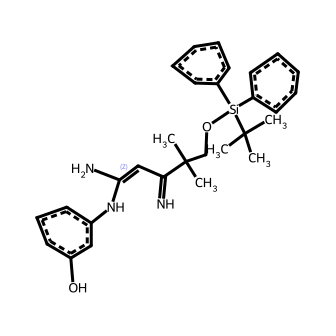 CC(C)(CO[Si](c1ccccc1)(c1ccccc1)C(C)(C)C)C(=N)/C=C(/N)Nc1cccc(O)c1